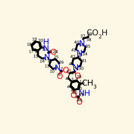 Cc1cc(C[C@@H](OC(=O)N2CCC(N3CCc4ccccc4NC3=O)CC2)C(=O)N2CCC(N3CCN(CCC(=O)O)CC3)CC2)cc2oc(=O)[nH]c12